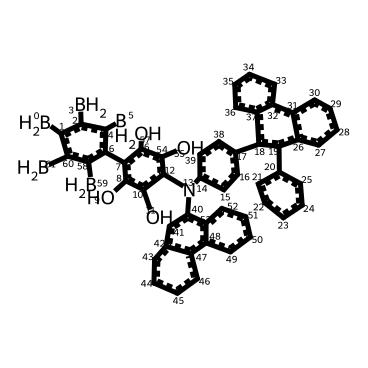 Bc1c(B)c(B)c(-c2c(O)c(O)c(N(c3ccc(-c4c(-c5ccccc5)c5ccccc5c5ccccc45)cc3)c3cc4ccccc4c4ccccc34)c(O)c2O)c(B)c1B